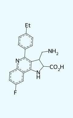 CCc1ccc(-c2nc3ccc(F)cc3c3c2C(CN)C(C(=O)O)N3)cc1